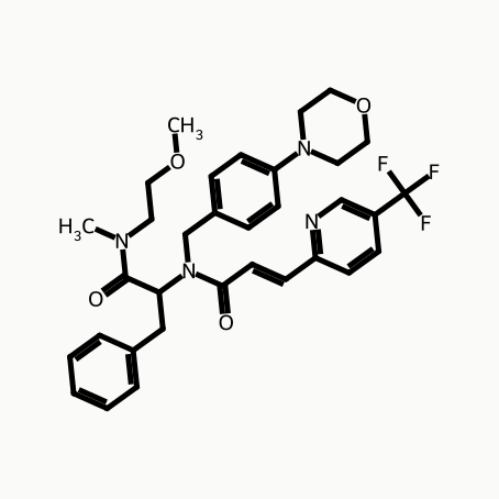 COCCN(C)C(=O)C(Cc1ccccc1)N(Cc1ccc(N2CCOCC2)cc1)C(=O)C=Cc1ccc(C(F)(F)F)cn1